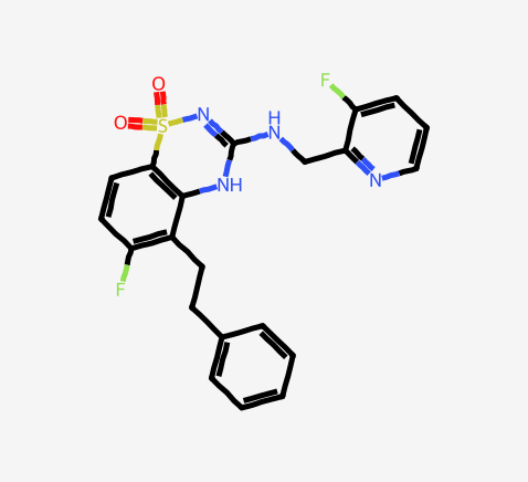 O=S1(=O)N=C(NCc2ncccc2F)Nc2c1ccc(F)c2CCc1ccccc1